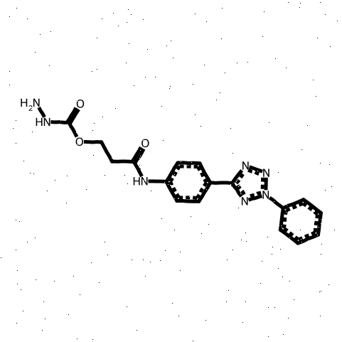 NNC(=O)OCCC(=O)Nc1ccc(-c2nnn(-c3ccccc3)n2)cc1